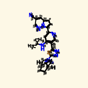 CC(C)Nc1cc(-c2ccc3cc(C#N)cnn23)ncc1-c1nnc(N2C[C@H]3CC[C@@H](C2)[C@@H]3N)s1